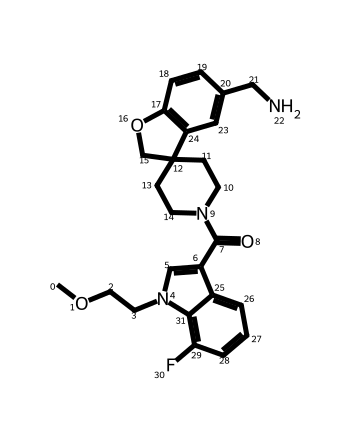 COCCn1cc(C(=O)N2CCC3(CC2)COc2ccc(CN)cc23)c2cccc(F)c21